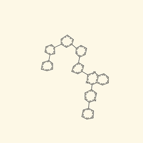 c1ccc(-c2cccc(-c3cccc(-c4cccc(-c5cccc(-c6nc(-c7ccc(-c8ccccc8)nc7)c7ccccc7n6)c5)c4)c3)c2)cc1